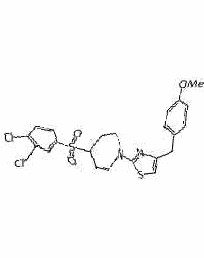 COc1ccc(Cc2csc(N3CCC(S(=O)(=O)c4ccc(Cl)c(Cl)c4)CC3)n2)cc1